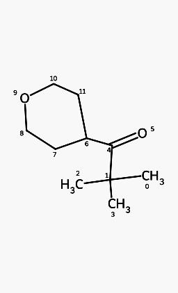 CC(C)(C)C(=O)C1CCOCC1